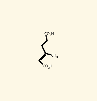 C/C(=C\C(=O)O)CCC(=O)O